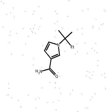 CCC(C)(C)n1ccc(C(N)=O)c1